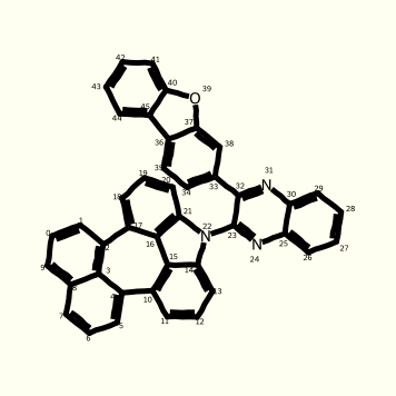 c1cc2c3c(cccc3c1)-c1cccc3c1c1c-2cccc1n3-c1nc2ccccc2nc1-c1ccc2c(c1)oc1ccccc12